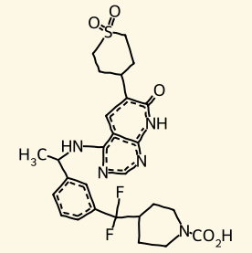 CC(Nc1ncnc2[nH]c(=O)c(C3CCS(=O)(=O)CC3)cc12)c1cccc(C(F)(F)C2CCN(C(=O)O)CC2)c1